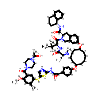 CN[C@@H](C)C(=O)N[C@H](C(=O)N1Cc2cc(OC3CCCCC(Oc4ccc(C5OC5Nc5ncc(Sc6cc(C(=O)N7CCN(C(C)=O)CC7)c(OC)cc6C)s5)cc4)CCCC3)ccc2C[C@H]1C(=O)N[C@@H]1CCCc2ccccc21)C(C)(C)C